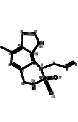 C=CCN1c2c(cc(Cl)c3cc[nH]c23)CNS1(=O)=O